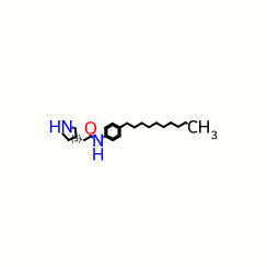 CCCCCCCCCCc1ccc(NC(=O)C[C@@H]2CCNC2)cc1